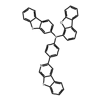 c1ccc2c(c1)oc1c(N(c3ccc(-c4cc5c(cn4)sc4ccccc45)cc3)c3ccc4c(c3)sc3ccccc34)cccc12